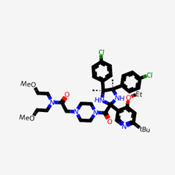 CCOc1cc(C(C)(C)C)ncc1C1(C(=O)N2CCN(CC(=O)N(CCOC)CCOC)CC2)N[C@@](C)(c2ccc(Cl)cc2)[C@@](C)(c2ccc(Cl)cc2)N1